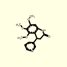 COc1cc2c(c(OC)c1OC)C(c1cccnc1)CC(=O)N2